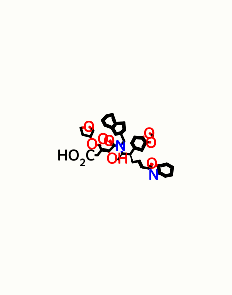 C[C@H]([C@H](C/C=C/c1nc2ccccc2o1)c1ccc2c(c1)OCO2)N(Cc1ccc2ccccc2c1)C(=O)C(O)=C(CC(=O)O)C(=O)OC1CCOC1